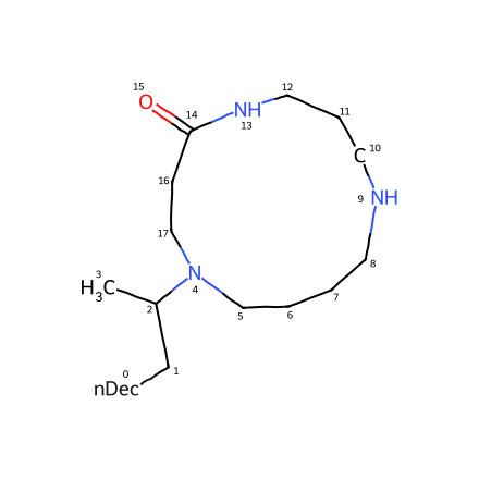 CCCCCCCCCCCC(C)N1CCCCNCCCNC(=O)CC1